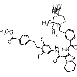 COC(=O)c1ccc(CCc2c(F)cc(NC(=O)c3c(NC(=O)c4cccc(CN5CCNCC5(C)C)c4)sc4c3CCCC4)cc2F)cc1.Cl.Cl